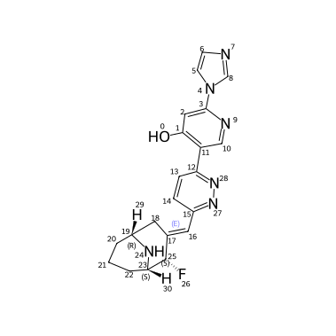 Oc1cc(-n2ccnc2)ncc1-c1ccc(/C=C2\C[C@H]3CCC[C@H](N3)[C@H]2F)nn1